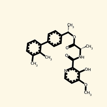 COc1ccnc(C(=O)N[C@@H](C)C(=O)O[C@@H](C)c2ccc(-c3cccc(C)c3C)cc2)c1O